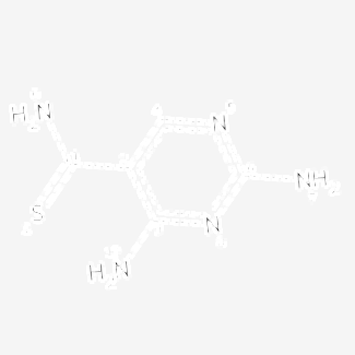 NC(=S)c1cnc(N)nc1N